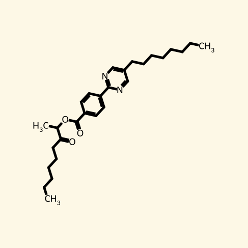 CCCCCCCCc1cnc(-c2ccc(C(=O)OC(C)C(=O)CCCCCC)cc2)nc1